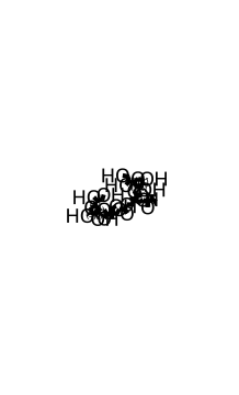 CN(C)C(=O)OCC(C)(COC(=O)OCC(C)(CO)C(=O)O[C@@H]1[C@@H](O)[C@@H](O)O[C@@H]1C(O)CO)C(=O)O[C@@H]1[C@@H](O)[C@@H](O)O[C@@H]1C(O)CO